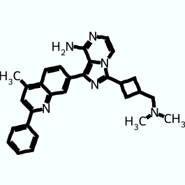 Cc1cc(-c2ccccc2)nc2cc(-c3nc(C4CC(CN(C)C)C4)n4ccnc(N)c34)ccc12